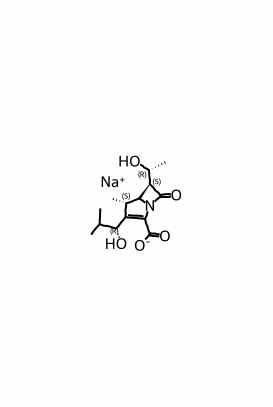 CC(C)[C@@H](O)C1=C(C(=O)[O-])N2C(=O)[C@H]([C@@H](C)O)C2[C@H]1C.[Na+]